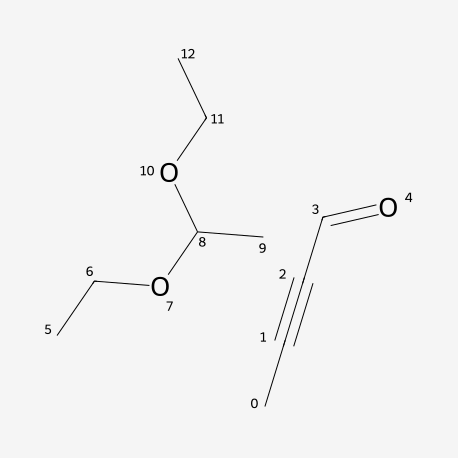 CC#CC=O.CCOC(C)OCC